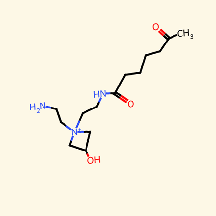 CC(=O)CCCCC(=O)NCC[N+]1(CCN)CC(O)C1